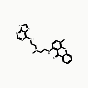 Cc1ccc(NCCN(C)CCNc2ncnc3[nH]cnc23)c2c(=O)c3ccccc3sc12